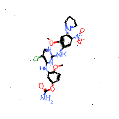 COc1cc(N2CCCC2)c([N+](=O)[O-])cc1Nc1ncc(Cl)c(Nc2cc(OC(N)=O)ccc2OC)n1